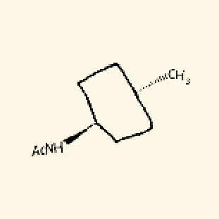 CC(=O)N[C@H]1CC[C@H](C)CC1